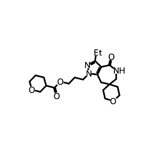 CCc1nn(CCCOC(=O)C2CCCOC2)c2c1C(=O)NCC1(CCOCC1)C2